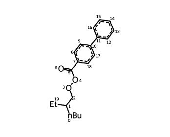 CCCCC([CH]OOC(=O)c1ccc(-c2ccccc2)cc1)CC